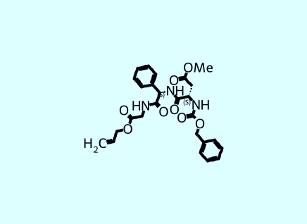 C=CCOC(=O)CNC(=O)[C@@H](NC(=O)[C@H](CC(=O)OC)NC(=O)OCc1ccccc1)c1ccccc1